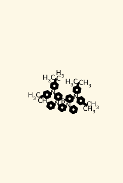 CC(C)c1ccc(N(c2ccc(C(C)C)cc2)c2ccc3c(c2)N(c2ccccc2)c2cccc4c2B3c2ccc(N(c3ccc(C(C)C)cc3)c3ccc(C(C)C)cc3)cc2N4c2ccccc2)cc1